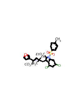 CCOC(=O)c1c(CC(C)(C)/C=C(\C(=O)O)c2ccoc2)c2c(Cl)cc(Cl)cc2n1S(=O)(=O)c1ccc(C)cc1